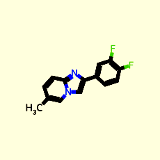 Cc1ccc2nc(-c3ccc(F)c(F)c3)cn2c1